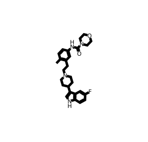 Cc1ccc(NC(=O)N2CCOCC2)cc1CCN1CCC(c2c[nH]c3ccc(F)cc23)CC1